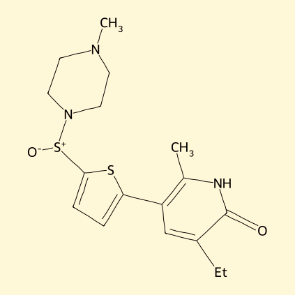 CCc1cc(-c2ccc([S+]([O-])N3CCN(C)CC3)s2)c(C)[nH]c1=O